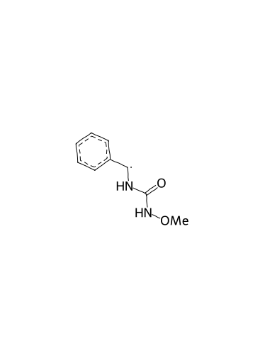 CONC(=O)N[CH]c1ccccc1